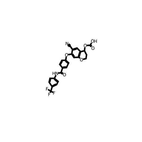 N#Cc1cc2c(cc1Oc1ccc(C(=O)Nc3ccc(C(F)(F)F)cc3)cc1)OCCC2OC(=O)O